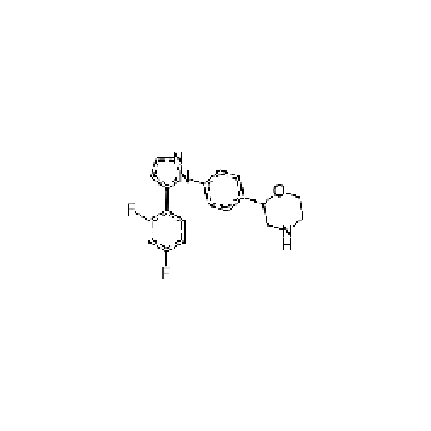 Fc1ccc(-c2ccnn2-c2ccc(C3CNCCO3)cc2)c(F)c1